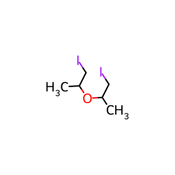 CC(CI)OC(C)CI